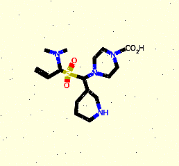 C=CC(N(C)C)S(=O)(=O)C(C1CCCNC1)N1CCN(C(=O)O)CC1